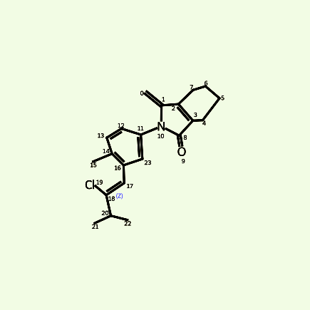 C=C1C2=C(CCCC2)C(=O)N1c1ccc(C)c(/C=C(\Cl)C(C)C)c1